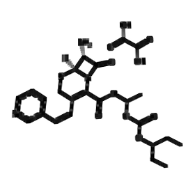 CCC(CC)OC(=O)OC(C)OC(=O)C1=C(/C=C\c2cccnc2)CS[C@H]2[C@H](N)C(=O)N12.O=C(O)C(=O)O